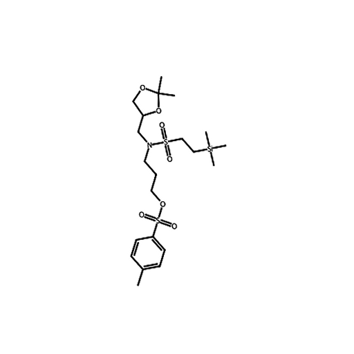 Cc1ccc(S(=O)(=O)OCCCN(CC2COC(C)(C)O2)S(=O)(=O)CC[Si](C)(C)C)cc1